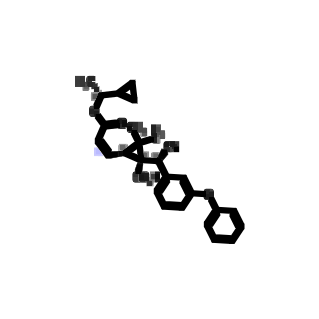 C[C@@H](OC(=O)/C=C\[C@H]1C(C)(C)[C@]1(C(=O)O)[C@@H](C#N)c1cccc(Oc2ccccc2)c1)C1CC1